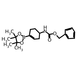 CC1(C)OB(C2=CCC(NC(=O)OCc3ccccc3)CC2)OC1(C)C